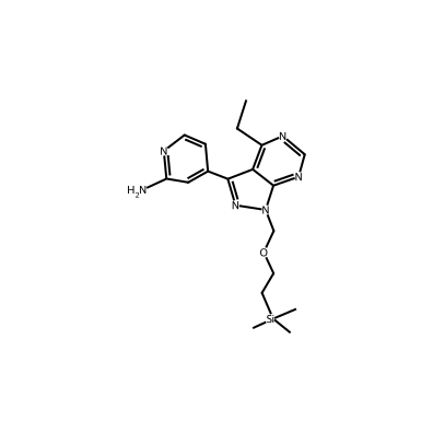 CCc1ncnc2c1c(-c1ccnc(N)c1)nn2COCC[Si](C)(C)C